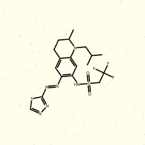 CC(C)CN1c2cc(NS(=O)(=O)CC(F)(F)F)c(N=Nc3nncs3)cc2CCC1C